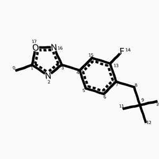 Cc1nc(-c2ccc(CC(C)(C)C)c(F)c2)no1